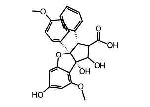 COc1ccc([C@@]23Oc4cc(O)cc(OC)c4[C@]2(O)C(O)C(C(=O)O)[C@H]3c2ccccc2)cc1